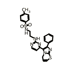 Cc1ccc(S(=O)(=O)NCCNc2nccc(-c3c(-c4ccccc4)nc4n3CC#CS4)n2)cc1